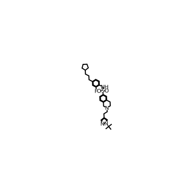 CC(C)(C)n1cc(CCN2CCc3cc(S(=O)(=O)Nc4ccc(CCCC5CCCC5)cc4F)ccc3C2)cn1